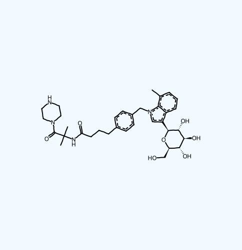 Cc1cccc2c([C@@H]3O[C@H](CO)[C@@H](O)[C@H](O)[C@H]3O)cn(Cc3ccc(CCCC(=O)NC(C)(C)C(=O)N4CCNCC4)cc3)c12